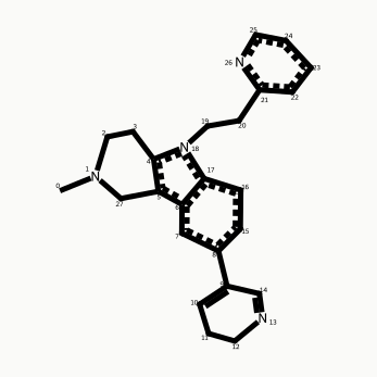 CN1CCc2c(c3cc(C4=CCCN=C4)ccc3n2CCc2ccccn2)C1